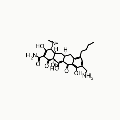 CCCCc1cc(CN)c(O)c2c1C[C@@H]1C[C@H]3[C@H](N(C)C)C(O)=C(C(N)=O)C(=O)[C@]3(O)C(O)=C1C2=O